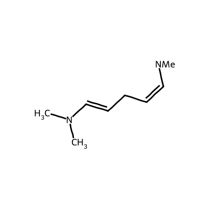 CN/C=C\C/C=C/N(C)C